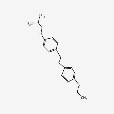 CCOc1ccc(CCc2ccc(OCC(C)C)cc2)cc1